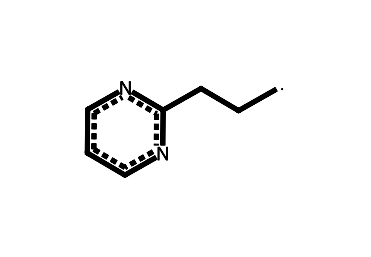 [CH2]CCc1ncccn1